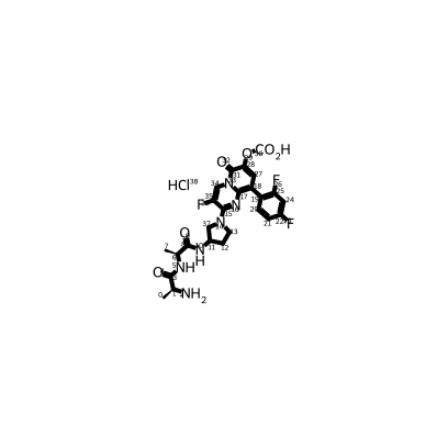 C[C@H](N)C(=O)N[C@@H](C)C(=O)NC1CCN(c2nc3c(-c4ccc(F)cc4F)cc(OC(=O)O)c(=O)n3cc2F)C1.Cl